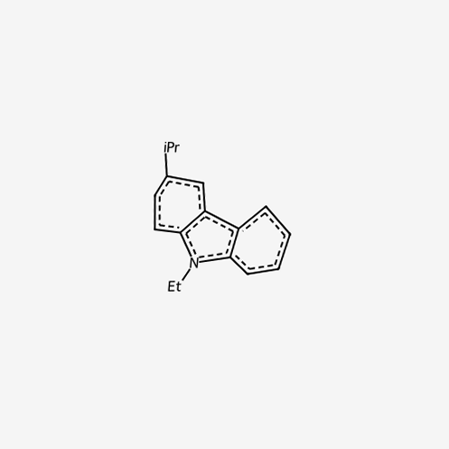 CCn1c2ccccc2c2cc(C(C)C)ccc21